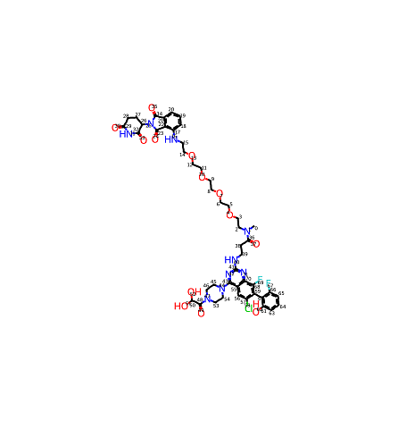 CN(CCOCCOCCOCCOCCNc1cccc2c1C(=O)N(C1CCC(=O)NC1=O)C2=O)C(=O)CCNc1nc(N2CCN(C(=O)C(O)O)CC2)c2cc(Cl)c(-c3c(O)cccc3F)c(F)c2n1